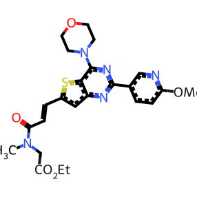 CCOC(=O)CN(C)C(=O)/C=C/c1cc2nc(-c3ccc(OC)nc3)nc(N3CCOCC3)c2s1